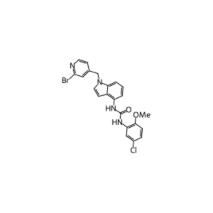 COc1ccc(Cl)cc1NC(=O)Nc1cccc2c1ccn2Cc1ccnc(Br)c1